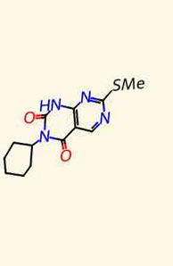 CSc1ncc2c(=O)n(C3CCCCC3)c(=O)[nH]c2n1